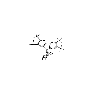 CC(C)(C)c1cc2c(cc1C(C)(C)C)[CH]([Zr+2])c1cc(C(C)(C)C)c(C(C)(C)C)cc1-2.[Cl-].[Cl-]